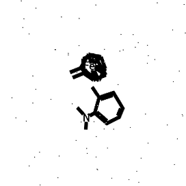 C[C]12[CH]3[CH]4[CH]5[CH]1[Fe]45321678[CH]2[CH]1[CH]6[C]7(C)[CH]28.Cc1ccccc1N(C)C